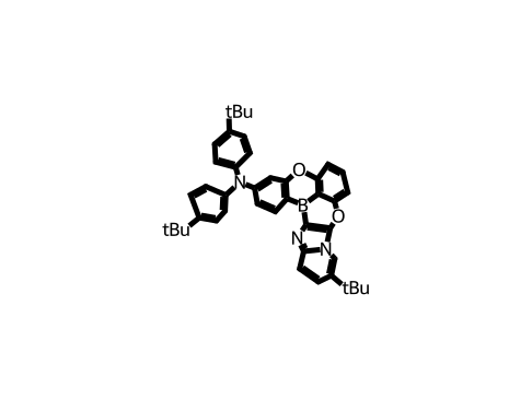 CC(C)(C)c1ccc(N(c2ccc(C(C)(C)C)cc2)c2ccc3c(c2)Oc2cccc4c2B3c2nc3ccc(C(C)(C)C)cn3c2O4)cc1